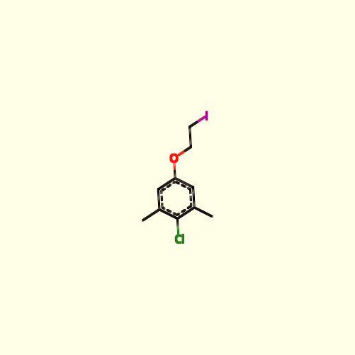 Cc1cc(OCCI)cc(C)c1Cl